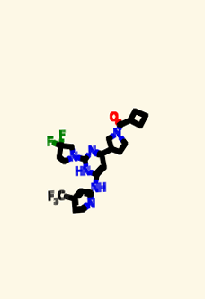 O=C(C1CCC1)N1CCC(C2=NC(N3CCC(F)(F)C3)NC(Nc3cc(C(F)(F)F)ccn3)=C2)C1